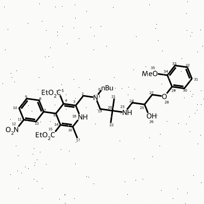 CCCCN(CC1=C(C(=O)OCC)C(c2cccc([N+](=O)[O-])c2)C(C(=O)OCC)=C(C)N1)CC(C)(C)NCC(O)COc1ccccc1OC